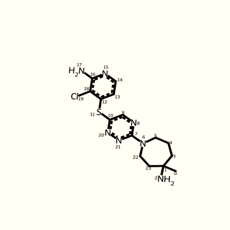 CC1(N)CCCN(c2ncc(Sc3ccnc(N)c3Cl)nn2)CC1